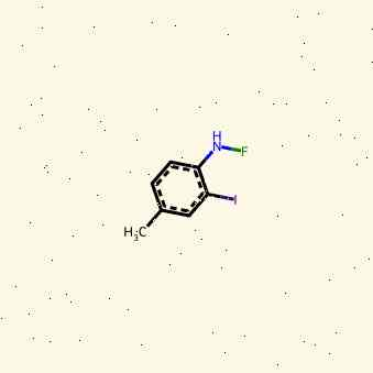 Cc1ccc(NF)c(I)c1